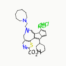 Cl.Cl.O=C(O)C1=NCC2=C(S1)C1=C(C3CCCCC3)C3=CC=C(Cl)C3C1=CN(CCN1CCCCCCC1)C2